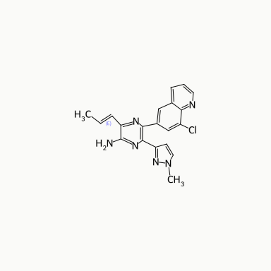 C/C=C/c1nc(-c2cc(Cl)c3ncccc3c2)c(-c2ccn(C)n2)nc1N